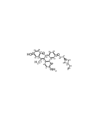 CC1=C(c2ccc(N)nc2)C(c2ccc(OCCN3CC(CF)C3)cc2)Oc2ccc(O)cc21